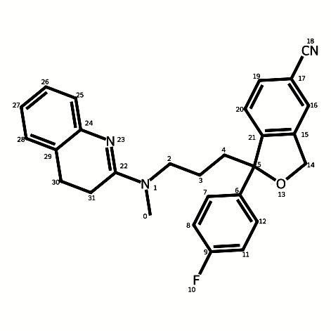 CN(CCCC1(c2ccc(F)cc2)OCc2cc(C#N)ccc21)C1=Nc2ccccc2CC1